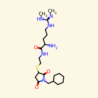 C/N=C(\NC)NCCCC(N)C(=O)NCCSC1CC(=O)N(CC2CCCCC2)C1=O